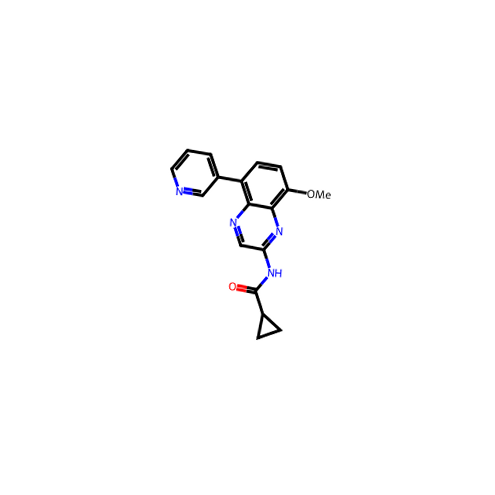 COc1ccc(-c2cccnc2)c2ncc(NC(=O)C3CC3)nc12